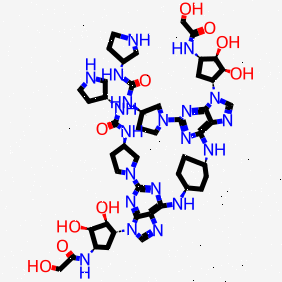 O=C(CO)N[C@H]1C[C@@H](n2cnc3c(N[C@H]4CC[C@H](Nc5nc(N6CC[C@@H](NC(=O)N[C@@H]7CCNC7)C6)nc6c5ncn6[C@@H]5C[C@H](NC(=O)CO)[C@@H](O)[C@H]5O)CC4)nc(N4CC[C@@H](NC(=O)N[C@@H]5CCNC5)C4)nc32)[C@H](O)[C@@H]1O